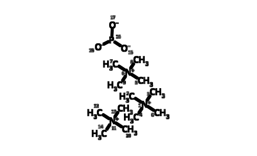 C[N+](C)(C)C.C[N+](C)(C)C.C[N+](C)(C)C.[O-]P([O-])[O-]